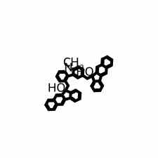 Cn1c2ccc(CC3(O)c4ccccc4-c4cc5ccccc5cc43)cc2c2c(CC3(O)c4ccccc4-c4cc5ccccc5cc43)cccc21